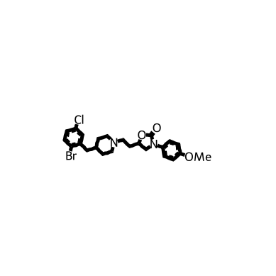 COc1ccc(N2CC(CCN3CCC(Cc4cc(Cl)ccc4Br)CC3)OC2=O)cc1